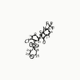 O=c1c2ccc(C(F)(F)F)nc2sn1-c1ccc(Cl)c(S(=O)(=O)N2CCOCC2)c1